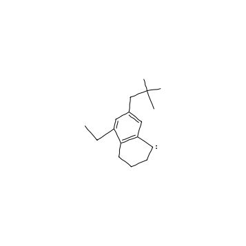 CCc1cc(CC(C)(C)C)cc2c1CCC[C]2